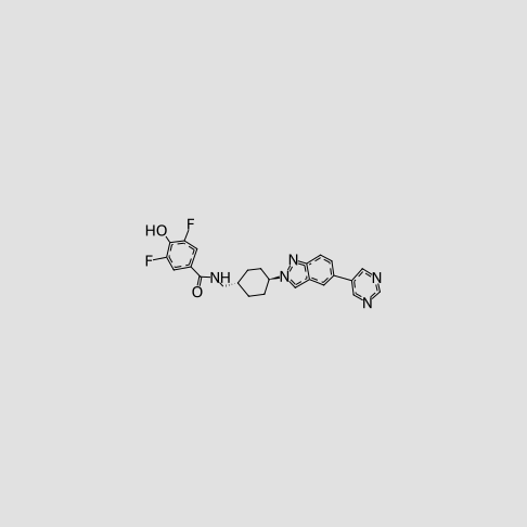 O=C(NC[C@H]1CC[C@H](n2cc3cc(-c4cncnc4)ccc3n2)CC1)c1cc(F)c(O)c(F)c1